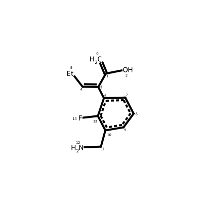 C=C(O)/C(=C\CC)c1cccc(CN)c1F